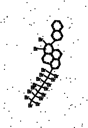 Brc1c(Br)c2ccc3c(C(Br)(Br)C(Br)(Br)C(Br)(Br)C(Br)(Br)C(Br)(Br)C(Br)(Br)C(Br)(Br)Br)ccc4ccc(c1-c1ccc5ccccc5c1)c2c43